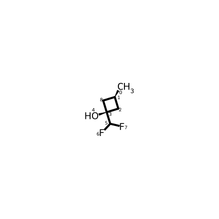 C[C@H]1C[C@](O)(C(F)F)C1